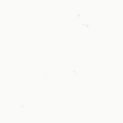 COc1ccc(C(=O)N2CCCc3ccc(C(=O)NO)cc32)cc1